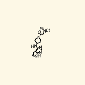 CCN(CC)CC(=O)N1CCC(Nc2ncnc3[nH]ccc23)CC1